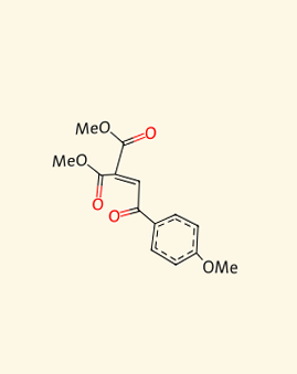 COC(=O)C(=CC(=O)c1ccc(OC)cc1)C(=O)OC